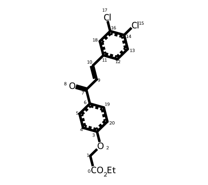 CCOC(=O)COc1ccc(C(=O)C=Cc2ccc(Cl)c(Cl)c2)cc1